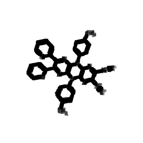 [C-]#[N+]c1nc2c(nc1[N+]#[C-])N(c1ccc(C)cc1)c1nc(-c3ccccn3)c(-c3ccccn3)nc1N2c1ccc(C)cc1